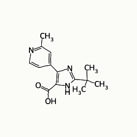 Cc1cc(-c2nc(C(C)(C)C)[nH]c2C(=O)O)ccn1